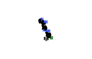 FC(F)(F)c1cc(CNc2ccc(Cc3c[nH]c4ncccc34)cn2)ccc1Cl